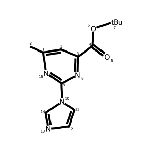 Cc1cc(C(=O)OC(C)(C)C)nc(-n2ccnc2)n1